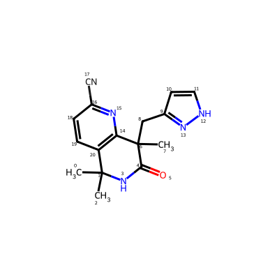 CC1(C)NC(=O)C(C)(Cc2cc[nH]n2)c2nc(C#N)ccc21